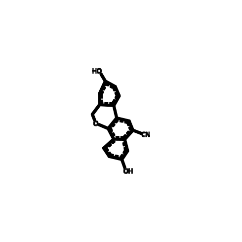 N#Cc1cc2c(c3ccc(O)cc13)OCc1cc(O)ccc1-2